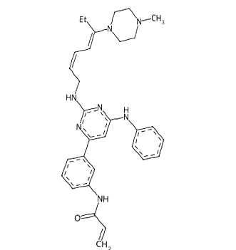 C=CC(=O)Nc1cccc(-c2cc(Nc3ccccc3)nc(NC/C=C\C=C(/CC)N3CCN(C)CC3)n2)c1